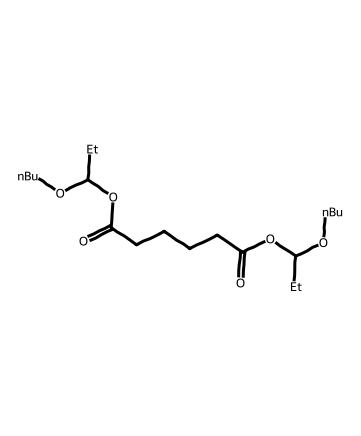 CCCCOC(CC)OC(=O)CCCCC(=O)OC(CC)OCCCC